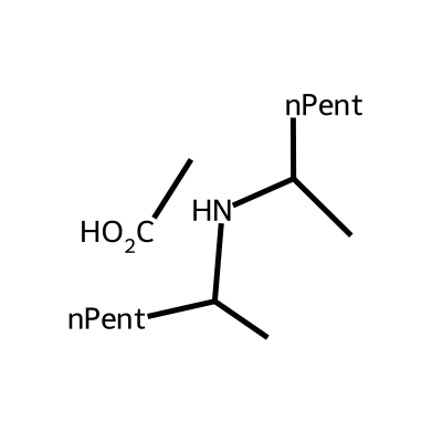 CC(=O)O.CCCCCC(C)NC(C)CCCCC